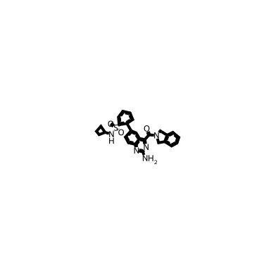 Nc1nc(C(=O)N2Cc3ccccc3C2)c2cc(-c3ccccc3S(=O)(=O)NC3CCC3)ccc2n1